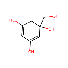 OCC1(O)C=C(O)C=C(O)C1